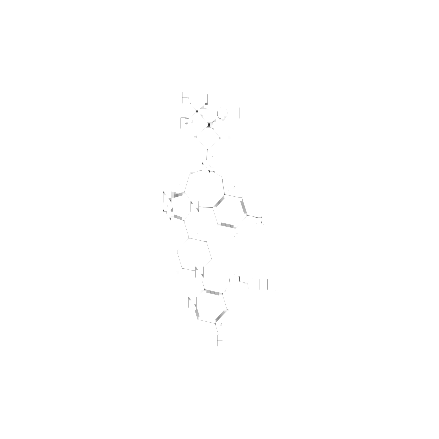 COc1cc(F)cnc1N1CCC(c2nnc3n2-c2ccc(Cl)cc2CN(C2CC(O)(C(F)(F)F)C2)C3)CC1